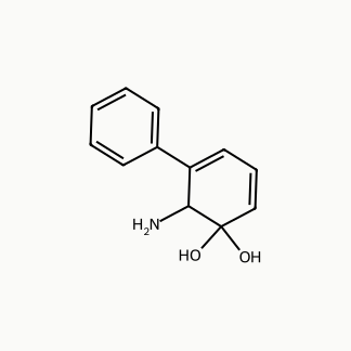 NC1C(c2ccccc2)=CC=CC1(O)O